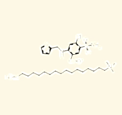 CCCCCCCCCCCCCCCCCCCCCCCCCC[N+](C)(C)C.NS(=O)(=O)c1cc(C(=O)[O-])c(NCc2ccco2)cc1Cl